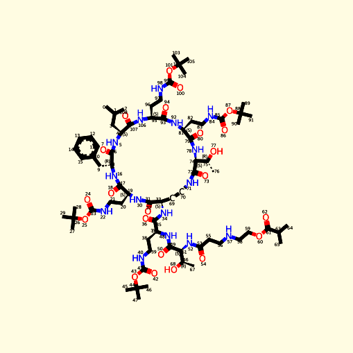 CC(C)C[C@@H]1NC(=O)[C@@H](Cc2ccccc2)NC(=O)[C@H](CCNC(=O)OC(C)(C)C)NC(=O)[C@@H](NC(=O)[C@H](CCNC(=O)OC(C)(C)C)NC(=O)[C@@H](NC(=O)CCNCCOC(=O)C(C)C)[C@@H](C)O)CCNC(=O)[C@H]([C@@H](C)O)NC(=O)[C@H](CCNC(=O)OC(C)(C)C)NC(=O)[C@H](CCNC(=O)OC(C)(C)C)NC1=O